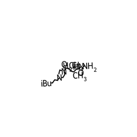 CCC(C)CCCN1CCN(C(=O)C(C)CC(C)C(C)C(=O)NN)CC1